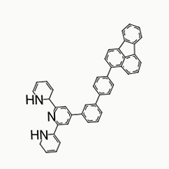 C1=CCNC(c2cc(-c3cccc(-c4ccc(-c5ccc6c7c(cccc57)-c5ccccc5-6)cc4)c3)cc(C3C=CC=CN3)n2)=C1